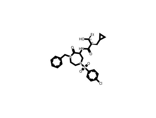 CC[C@H](O)[C@@H](CC1CC1)C(=O)NC1CN(S(=O)(=O)c2ccc(Cl)cc2)CCN(Cc2ccccc2)C1=O